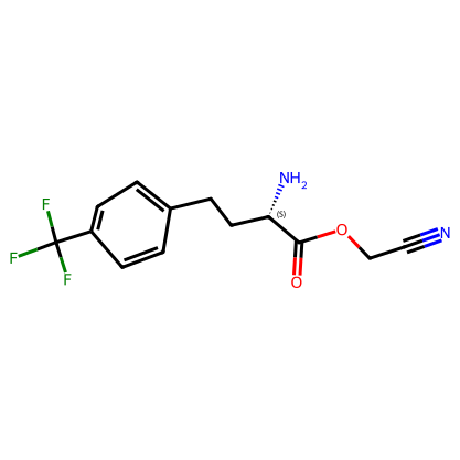 N#CCOC(=O)[C@@H](N)CCc1ccc(C(F)(F)F)cc1